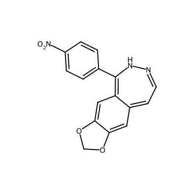 O=[N+]([O-])c1ccc(C2=c3cc4c(cc3=CC=NN2)OCO4)cc1